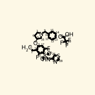 C=Cc1c(O[C@H]2CCN(Cc3ccccc3)C2)cc(F)c(S(=O)(=O)Nc2cscn2)c1F.O=C(O)C(F)(F)F